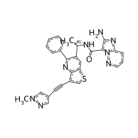 C[C@@H](NC(=O)c1c(N)nc2cccnn12)c1cc2scc(C#Cc3cnn(C)c3)c2nc1-c1ccccc1